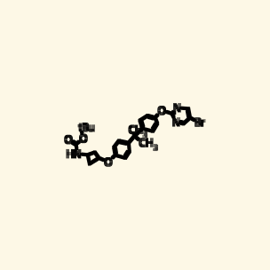 CC(C)(C)OC(=O)NC1CC(Oc2ccc(C(C)(C)c3ccc(Oc4ncc(Br)cn4)cc3)cc2)C1